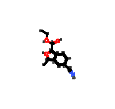 CCOC(=O)c1oc(C)c2cc(C#N)ccc12